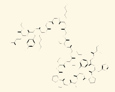 CC(C)C[C@H](NC(=O)[C@@H]1CCCN1C(=O)[C@H](CC(=O)O)NC(=O)[C@H](C)NC(=O)[C@H](Cc1ccccc1)NC(=O)[C@@H]1CCCN1C(=O)[C@H](Cc1c[nH]cn1)NC(=O)[C@H](C)NC(=O)[C@@H](N)CO)C(=O)N[C@@H](CC(=O)O)C(=O)N[C@@H](CCC(=O)O)C(=O)N[C@@H](CO)C(=O)NCC(=O)N[C@@H](CCCCN)C(=O)N[C@@H](C)C(=O)N[C@@H](C)C(=O)N[C@@H](CCCCN)C(=O)N[C@@H](Cc1ccc(O)cc1)C(=O)N[C@@H](CCC(N)=O)C(=O)NCC(=O)O